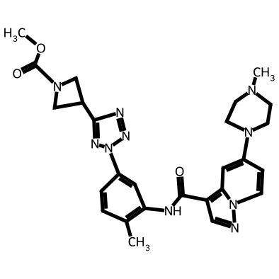 COC(=O)N1CC(c2nnn(-c3ccc(C)c(NC(=O)c4cnn5ccc(N6CCN(C)CC6)cc45)c3)n2)C1